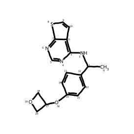 CC(Nc1ncnc2sccc12)c1ccc(OC2COC2)cc1